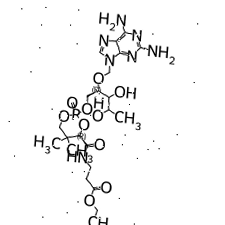 CCOC(=O)CCNC(=O)[C@@H]1OP(=O)(OC[C@@H](OCn2cnc3c(N)nc(N)nc32)C(O)C(C)O)OCC1(C)C